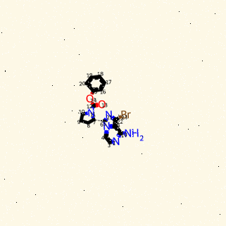 Nc1nccn2c([C@@H]3CCCN3C(=O)Oc3ccccc3)nc(Br)c12